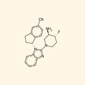 N#Cc1ccc2c(c1)CC[C@H]2n1c(N2CC[C@@H](F)[C@H](N)C2)nc2ccccc21